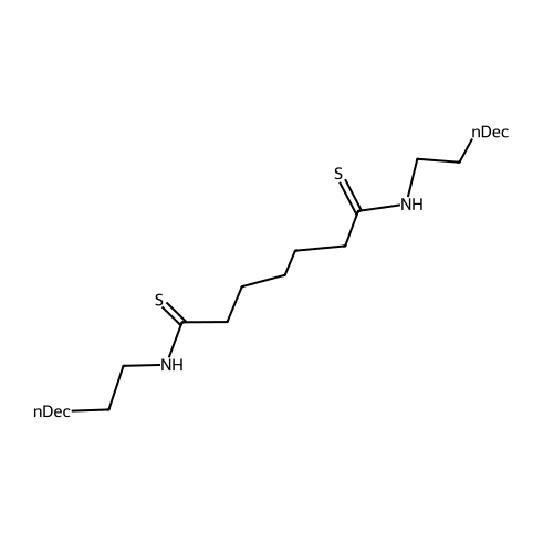 CCCCCCCCCCCCNC(=S)CCCCCC(=S)NCCCCCCCCCCCC